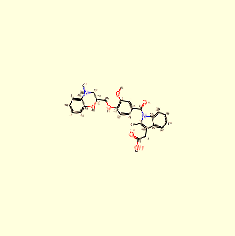 COc1cc(C(=O)n2c(C)c(CC(=O)O)c3ccccc32)ccc1OC[C@@H]1CN(C)c2ccccc2O1